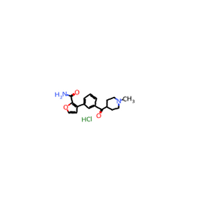 CN1CCC(C(=O)c2cccc(-c3ccoc3C(N)=O)c2)CC1.Cl